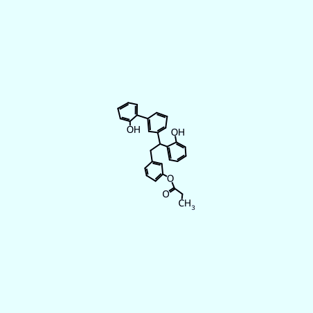 CCC(=O)Oc1cccc(CC(c2cccc(-c3ccccc3O)c2)c2ccccc2O)c1